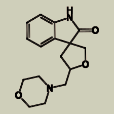 O=C1Nc2ccccc2C12COC(CN1CCOCC1)C2